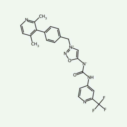 Cc1ccnc(C)c1-c1ccc(C[n+]2cc([N-]C(=O)Nc3ccnc(C(F)(F)F)c3)on2)cc1